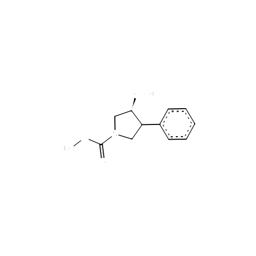 CC(C)(C)OC(=O)N1CC(c2ccccc2)[C@H](C(=O)O)C1